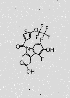 Cc1c(CC(=O)O)c2c(F)c(O)ccc2n1C(=O)c1csc(OC(F)(F)C(F)(F)F)c1